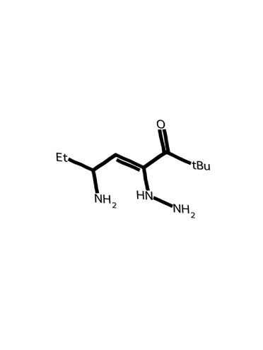 CCC(N)/C=C(\NN)C(=O)C(C)(C)C